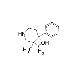 CC1(C)CNCC[C@@]1(O)c1ccccc1